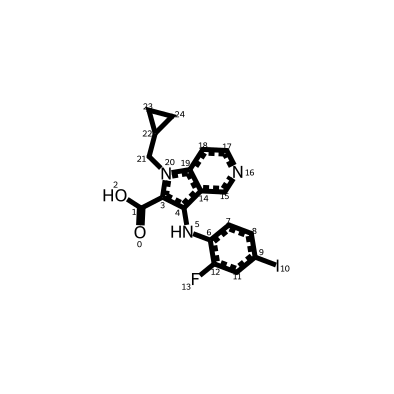 O=C(O)c1c(Nc2ccc(I)cc2F)c2cnccc2n1CC1CC1